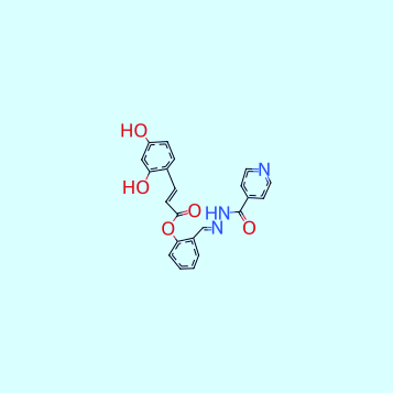 O=C(/C=C/c1ccc(O)cc1O)Oc1ccccc1/C=N/NC(=O)c1ccncc1